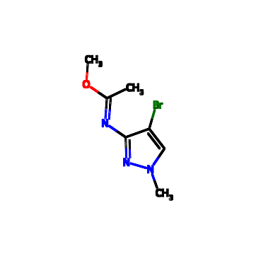 CO/C(C)=N/c1nn(C)cc1Br